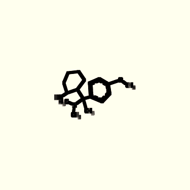 COc1ccc(C(C)(C2CCCCC2O)N(C)C)cc1